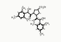 CCOC(=O)C1CC(C(=O)C(O)c2c(C)cc(C)cc2C)C(C(=O)C(O)c2c(C)cc(C)cc2C)C1